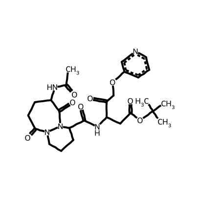 CC(=O)NC1CCC(=O)N2CCCC(C(=O)NC(CC(=O)OC(C)(C)C)C(=O)COc3cccnc3)N2C1=O